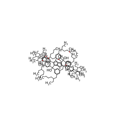 CCCCC(CC)Cc1cc(CC(CC)CCCC)cc(C(O)(c2cc(CC(CC)CCCC)cc(CC(CC)CCCC)c2)c2c(-c3cc4sc([Si](C(C)C)(C(C)C)C(C)C)cc4s3)sc3c(C(O)(c4cc(CC(CC)CCCC)cc(CC(CC)CCCC)c4)c4cc(CC(CC)CCCC)cc(CC(CC)CCCC)c4)c(-c4cc5sc([Si](C(C)C)(C(C)C)C(C)C)cc5s4)sc23)c1